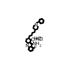 Cl.Cl.Nc1c2c(nc3cccc(F)c13)CCC(CCCCC1CCN(Cc3ccccc3)CC1)C2=O